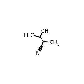 CC(O)C(C)C#N